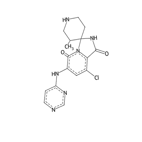 CC1CNCCC12NC(=O)c1c(Cl)cc(Nc3ccncn3)c(=O)n12